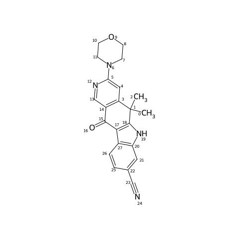 CC1(C)c2cc(N3CCOCC3)ncc2C(=O)c2c1[nH]c1cc(C#N)ccc21